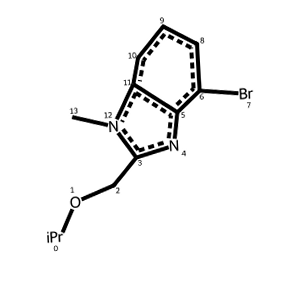 CC(C)OCc1nc2c(Br)cccc2n1C